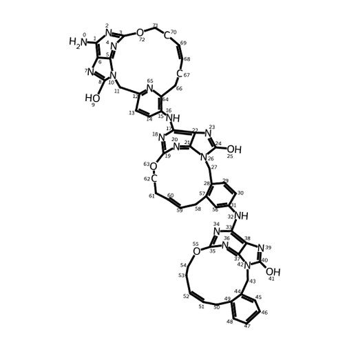 Nc1nc2nc3c1nc(O)n3Cc1ccc(Nc3nc4nc5c3nc(O)n5Cc3ccc(Nc5nc6nc7c5nc(O)n7Cc5ccccc5C/C=C\CCO6)cc3C/C=C/CCO4)c(n1)CC/C=C\CCO2